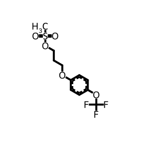 CS(=O)(=O)OCCCOc1ccc(OC(F)(F)F)cc1